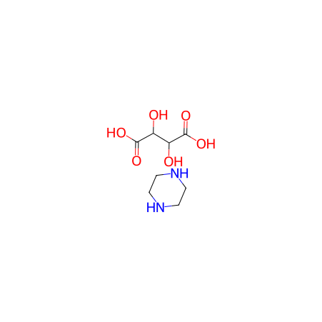 C1CNCCN1.O=C(O)C(O)C(O)C(=O)O